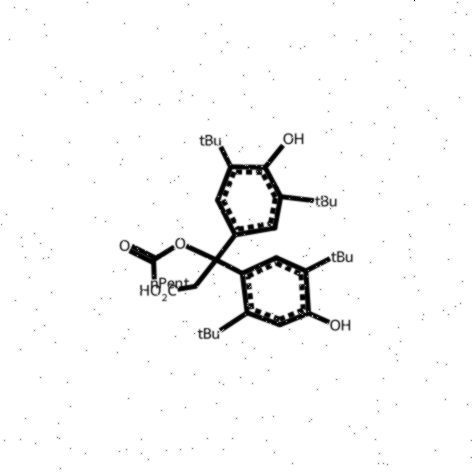 CCCCCC(=O)OC(CC(=O)O)(c1cc(C(C)(C)C)c(O)c(C(C)(C)C)c1)c1cc(C(C)(C)C)c(O)cc1C(C)(C)C